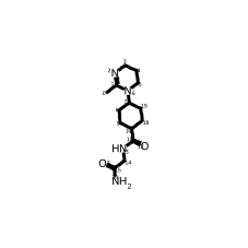 CC1=NCCCN1C1CCC(C(=O)NCC(N)=O)CC1